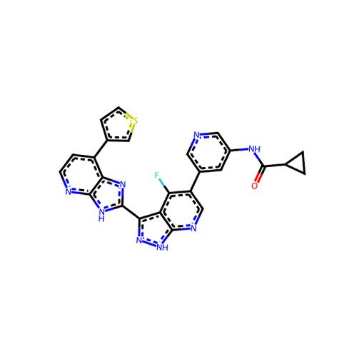 O=C(Nc1cncc(-c2cnc3[nH]nc(-c4nc5c(-c6ccsc6)ccnc5[nH]4)c3c2F)c1)C1CC1